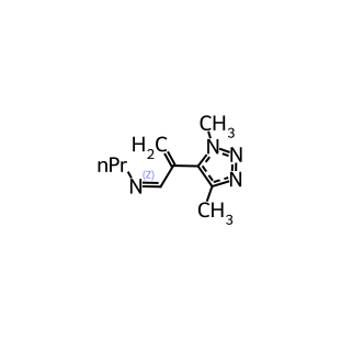 C=C(/C=N\CCC)c1c(C)nnn1C